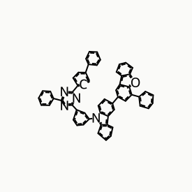 c1ccc(-c2ccc(-c3nc(-c4ccccc4)nc(-c4cccc(-n5c6ccccc6c6cc(-c7cc(-c8ccccc8)c8oc9ccccc9c8c7)ccc65)c4)n3)cc2)cc1